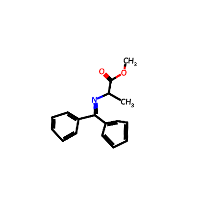 COC(=O)C(C)N=C(c1ccccc1)c1ccccc1